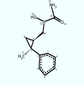 C[C@]1(c2ccccc2)C[C@H]1CN(O)C(N)=O